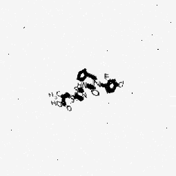 CC(CSc1cnc(NC(=O)N(CC2CCCC2)c2ccc(Cl)cc2F)s1)C(=O)O